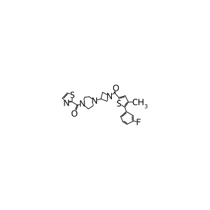 Cc1cc(C(=O)N2CC(N3CCN(C(=O)c4nccs4)CC3)C2)sc1-c1cccc(F)c1